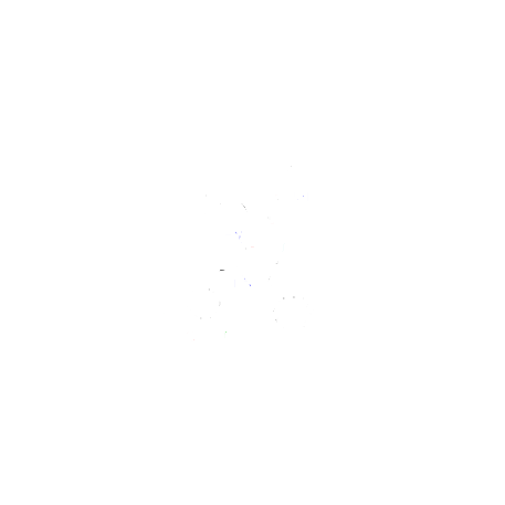 CC(C)NC(=O)C(=O)[C@H](CC1CC1)NC(=O)[C@H](Cc1cc(Cl)c(O)c(Cl)c1)N[C@@H](c1cccc(F)c1)C(F)(F)F